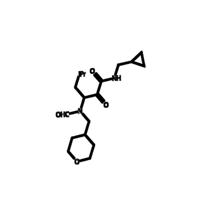 CC(C)CC(C(=O)C(=O)NCC1CC1)N(C=O)CC1CCOCC1